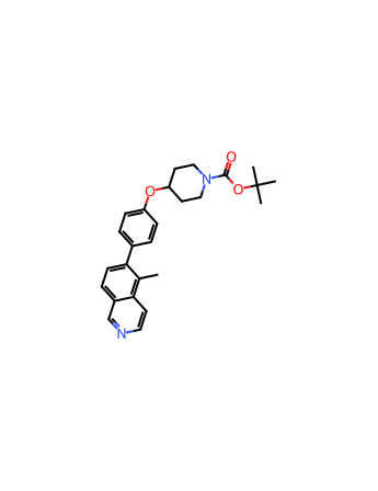 Cc1c(-c2ccc(OC3CCN(C(=O)OC(C)(C)C)CC3)cc2)ccc2cnccc12